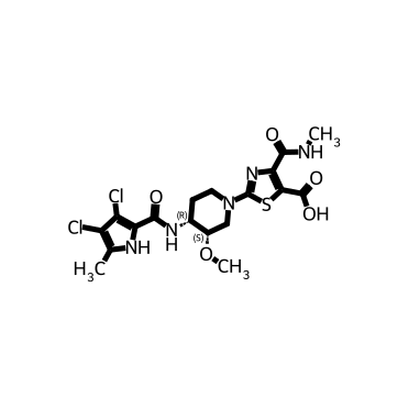 CNC(=O)c1nc(N2CC[C@@H](NC(=O)c3[nH]c(C)c(Cl)c3Cl)[C@@H](OC)C2)sc1C(=O)O